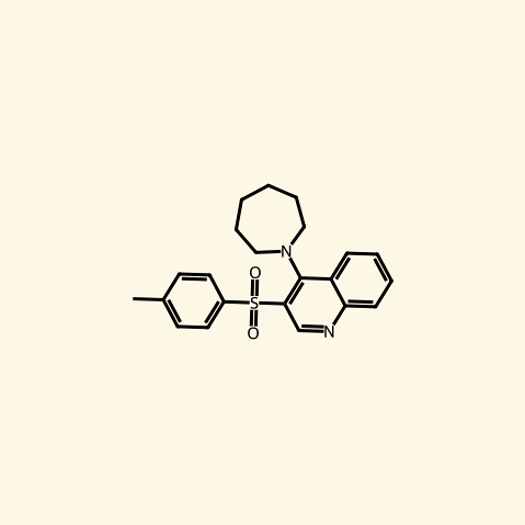 Cc1ccc(S(=O)(=O)c2cnc3ccccc3c2N2CCCCCC2)cc1